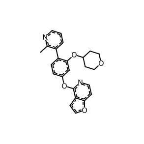 Cc1ncccc1-c1ccc(Oc2nccc3occc23)cc1OC1CCOCC1